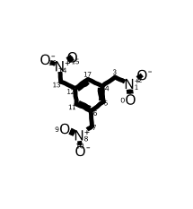 O=[N+]([O-])Cc1cc(C[N+](=O)[O-])cc(C[N+](=O)[O-])c1